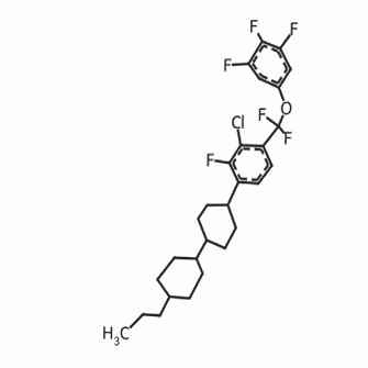 CCCC1CCC(C2CCC(c3ccc(C(F)(F)Oc4cc(F)c(F)c(F)c4)c(Cl)c3F)CC2)CC1